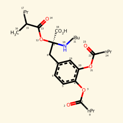 CCCC(=O)Oc1ccc(C[C@](NC(C)CC)(OC(=O)C(C)C(C)C)C(=O)O)cc1OC(=O)CCC